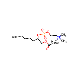 CCCCCCCCCCCCCCC(COC(=O)OC)OP(=O)([O-])OCC[N+](C)(C)C